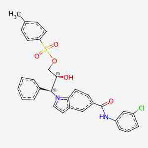 Cc1ccc(S(=O)(=O)OC[C@@H](O)[C@H](c2ccccc2)n2ccc3cc(C(=O)Nc4cccc(Cl)c4)ccc32)cc1